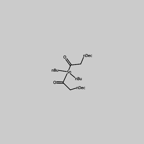 CCCCCCCCCCC[C](=O)[Sn]([CH2]CCC)([CH2]CCC)[C](=O)CCCCCCCCCCC